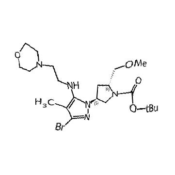 COC[C@H]1C[C@H](n2nc(Br)c(C)c2NCCN2CCOCC2)CN1C(=O)OC(C)(C)C